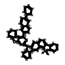 C[Si]1(C)c2ccccc2-c2ccc3cc4c(cc3c21)c1ccccc1n4-c1nc(-c2ccc3cc(-c4ccccc4)ccc3c2)c2c(n1)oc1ccccc12